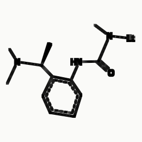 CCN(C)C(=O)Nc1ccccc1[C@H](C)N(C)C